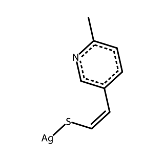 Cc1ccc(/C=C\[S][Ag])cn1